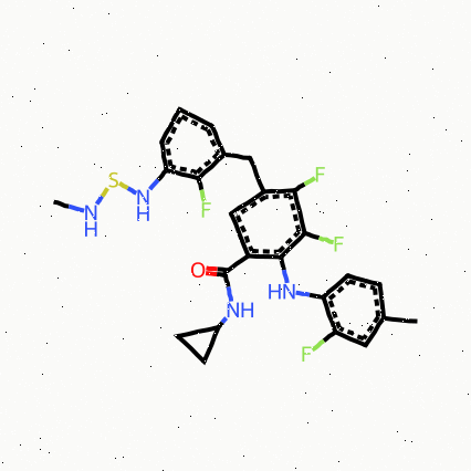 CNSNc1cccc(Cc2cc(C(=O)NC3CC3)c(Nc3ccc(C)cc3F)c(F)c2F)c1F